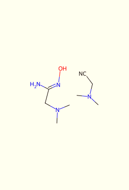 CN(C)CC#N.CN(C)CC(N)=NO